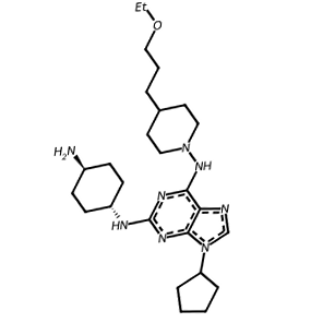 CCOCCCC1CCN(Nc2nc(N[C@H]3CC[C@H](N)CC3)nc3c2ncn3C2CCCC2)CC1